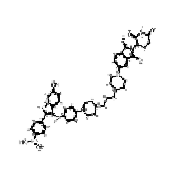 O=C1CCC(N2C(=O)c3ccc(N4CCC(CCCN5CCN(c6ccc(Oc7c(-c8ccc(B(O)O)cc8)sc8cc(O)ccc78)cc6)CC5)CC4)cc3C2=O)C(=O)N1